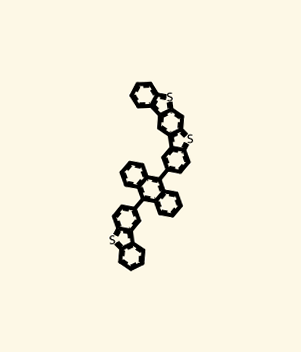 c1ccc2c(c1)sc1ccc(-c3c4ccccc4c(-c4ccc5sc6cc7sc8ccccc8c7cc6c5c4)c4ccccc34)cc12